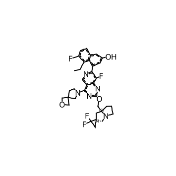 CCc1c(F)ccc2cc(O)cc(-c3ncc4c(N5CCC6(COC6)C5)nc(OC[C@@]56CCCN5C[C@@]5(CC5(F)F)C6)nc4c3F)c12